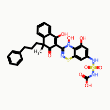 CC1(CCCc2ccccc2)C(=O)C(C2=NSc3cc(NS(=O)(=O)NC(=O)O)cc(O)c3N2O)=C(O)c2ccccc21